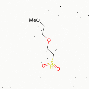 COCCOCC[SH](=O)=O